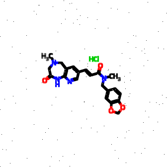 CN1CC(=O)Nc2ncc(/C=C/C(=O)N(C)Cc3ccc4c(c3)OCO4)cc2C1.Cl